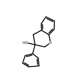 OC1(c2ccccc2)COc2ccccc2C1